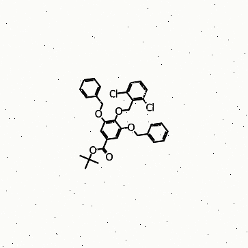 CC(C)(C)OC(=O)c1cc(OCc2ccccc2)c(OCc2c(Cl)cccc2Cl)c(OCc2ccccc2)c1